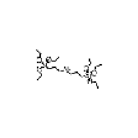 CCO[Si](CCC[N]CCC[Si](OCC)(OCC)OCC)(OCC)OCC